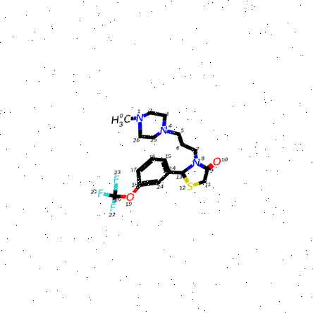 CN1CCN(CCCN2C(=O)CSC2c2cccc(OC(F)(F)F)c2)CC1